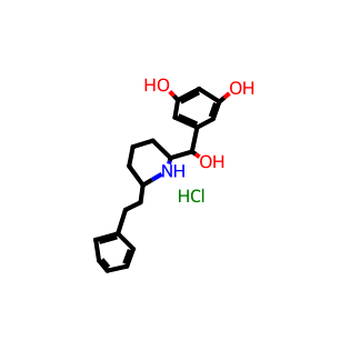 Cl.Oc1cc(O)cc(C(O)C2CCCC(CCc3ccccc3)N2)c1